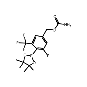 CC1(C)OB(c2c(F)cc(COC(N)=O)cc2C(F)(F)F)OC1(C)C